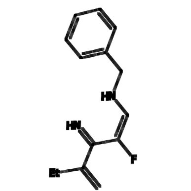 C=C(CC)C(=N)/C(F)=C\NCc1ccccc1